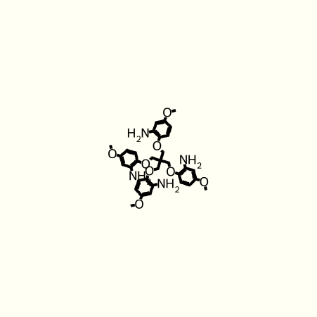 COc1ccc(OCC(COc2ccc(OC)cc2N)(COc2ccc(OC)cc2N)COc2ccc(OC)cc2N)c(N)c1